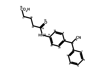 N#CC(c1ccccc1)c1ccc(NC(=O)CCCC(=O)O)cc1